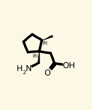 C[C@@H]1CCC[C@@]1(CN)CC(=O)O